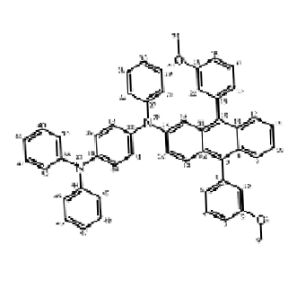 COc1cccc(-c2c3ccccc3c(-c3cccc(OC)c3)c3cc(N(c4ccccc4)c4ccc(N(c5ccccc5)c5ccccc5)cc4)ccc23)c1